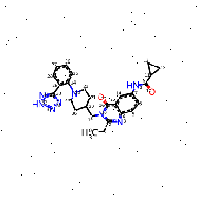 CCc1nc2ccc(NC(=O)C3CC3)cc2c(=O)n1CC1CCN(c2ccccc2-c2nn[nH]n2)CC1